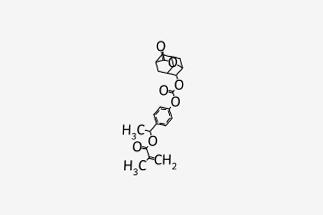 C=C(C)C(=O)OC(C)c1ccc(OC(=O)OC2C3CC4CC(C3)C(=O)OC2C4)cc1